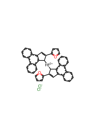 C1=C(c2ccco2)[CH]([Hf+2][CH]2C(c3ccco3)=Cc3c2c2ccccc2c2ccccc32)c2c1c1ccccc1c1ccccc21.[Cl-].[Cl-]